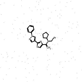 C=C(c1csc(-c2cnn(-c3ccccc3)c2)n1)N(CC(C)C)C1CCCC1